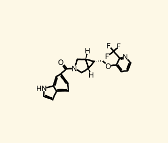 O=C(c1ccc2cc[nH]c2c1)N1C[C@@H]2[C@H](COc3cccnc3C(F)(F)F)[C@@H]2C1